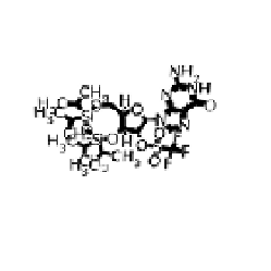 CC(C)[Si]1(C(C)C)OC[C@H]2O[C@@H](n3cnc4c(=O)[nH]c(N)nc43)[C@H](OS(=O)(=O)C(F)(F)F)[C@@H]2O[Si](C(C)C)(C(C)C)O1